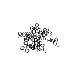 C=CCOC(=O)NCCCC[C@H](NC(=O)[C@H](Cc1cn(C(=O)OC(C)(C)C)c2ccccc12)NC(=O)[C@H](CCCNC(=N)NS(=O)(=O)c1c(C)c(C)c2c(c1C)CC(C)(C)O2)NC(=O)[C@@H](Cc1ccccc1)NC(=O)[C@H](Cc1cn(C(c2ccccc2)(c2ccccc2)c2ccccc2)cn1)N1C(=O)C[C@H](N)C1=O)C(=O)OC